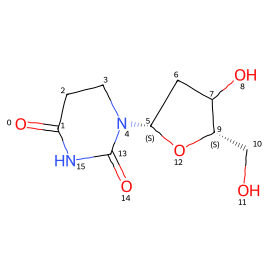 O=C1CCN([C@@H]2CC(O)[C@H](CO)O2)C(=O)N1